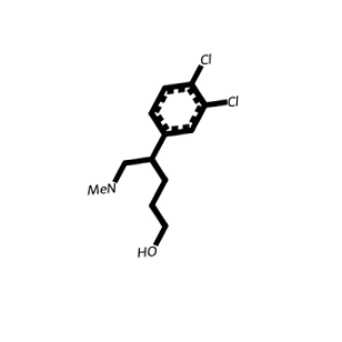 CNCC(CCCO)c1ccc(Cl)c(Cl)c1